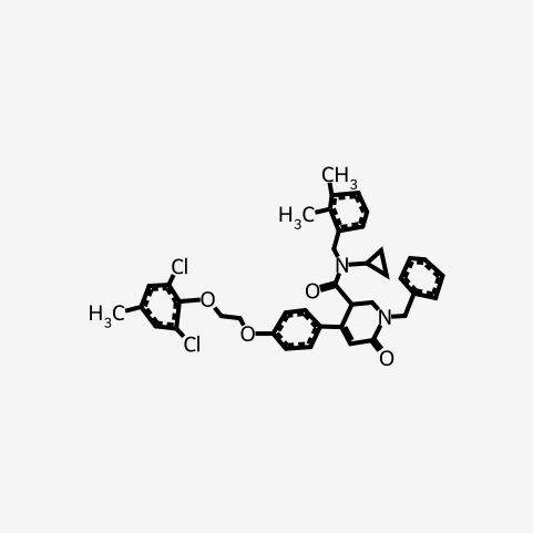 Cc1cc(Cl)c(OCCOc2ccc(C3=CC(=O)N(Cc4ccccc4)CC3C(=O)N(Cc3cccc(C)c3C)C3CC3)cc2)c(Cl)c1